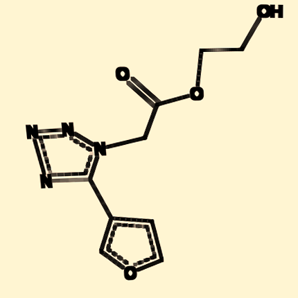 O=C(Cn1nnnc1-c1ccoc1)OCCO